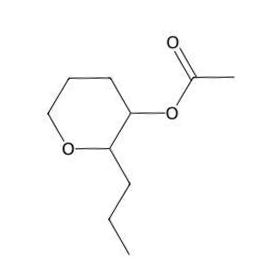 CCCC1OCCCC1OC(C)=O